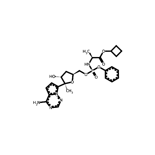 C[C@H](NP(=O)(OC[C@@H]1C[C@@H](O)[C@](C)(c2ccc3c(N)ncnn23)O1)Oc1ccccc1)C(=O)OC1CCC1